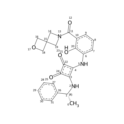 C[C@@H](Nc1c(Nc2cccc(C(=O)N3CC4(COC4)C3)c2O)c(=O)c1=O)c1ccccc1